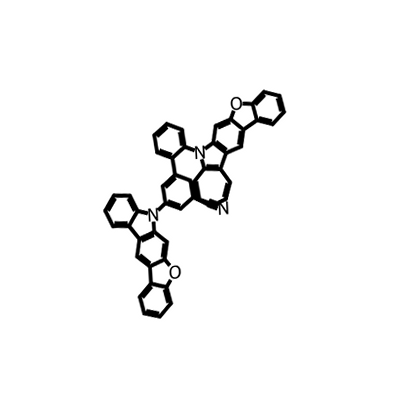 N#CC1C=C(n2c3ccccc3c3cc4c(cc32)oc2ccccc24)C=C(c2ccccc2-n2c3c(c4cc5c(cc42)oc2ccccc25)C=CCC#C3)C1